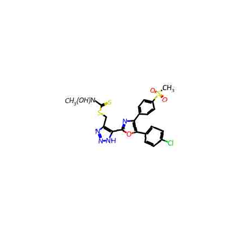 CN(O)C(=S)SCc1nn[nH]c1-c1nc(-c2ccc(S(C)(=O)=O)cc2)c(-c2ccc(Cl)cc2)o1